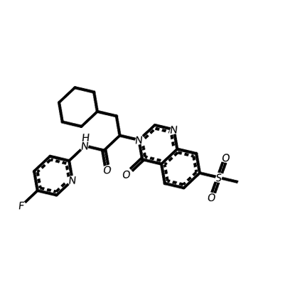 CS(=O)(=O)c1ccc2c(=O)n(C(CC3CCCCC3)C(=O)Nc3ccc(F)cn3)cnc2c1